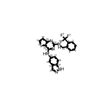 FC(F)(F)c1ccccc1CNc1nc(Nc2ccc3[nH]ncc3c2)c2sccc2n1